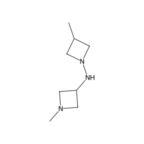 CC1CN(NC2CN(C)C2)C1